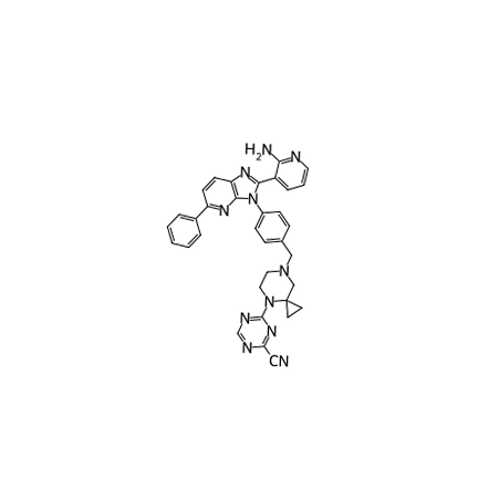 N#Cc1ncnc(N2CCN(Cc3ccc(-n4c(-c5cccnc5N)nc5ccc(-c6ccccc6)nc54)cc3)CC23CC3)n1